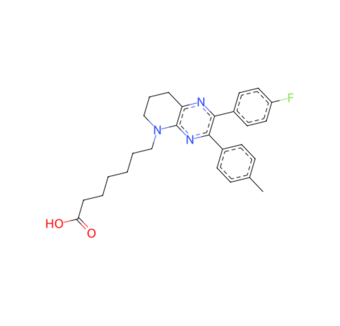 Cc1ccc(-c2nc3c(nc2-c2ccc(F)cc2)CCCN3CCCCCCC(=O)O)cc1